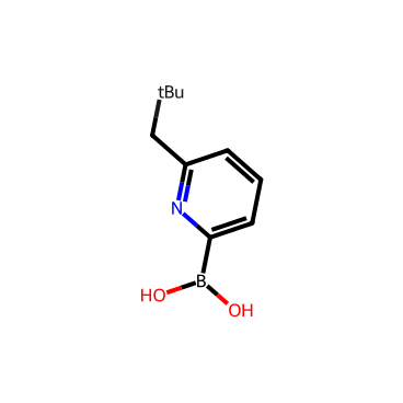 CC(C)(C)Cc1cccc(B(O)O)n1